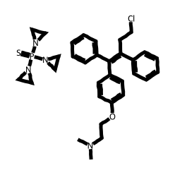 CN(C)CCOc1ccc(/C(=C(/CCCl)c2ccccc2)c2ccccc2)cc1.S=P(N1CC1)(N1CC1)N1CC1